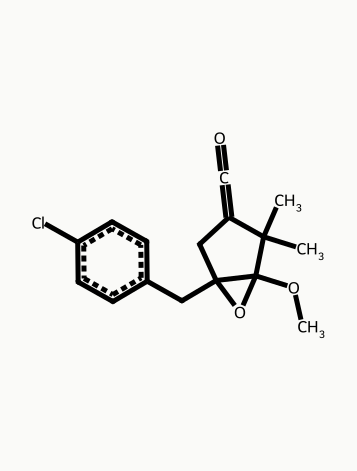 COC12OC1(Cc1ccc(Cl)cc1)CC(=C=O)C2(C)C